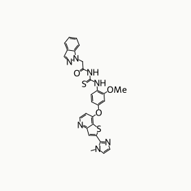 COc1cc(Oc2ccnc3cc(-c4nccn4C)sc23)ccc1NC(=S)NC(=O)Cn1ncc2ccccc21